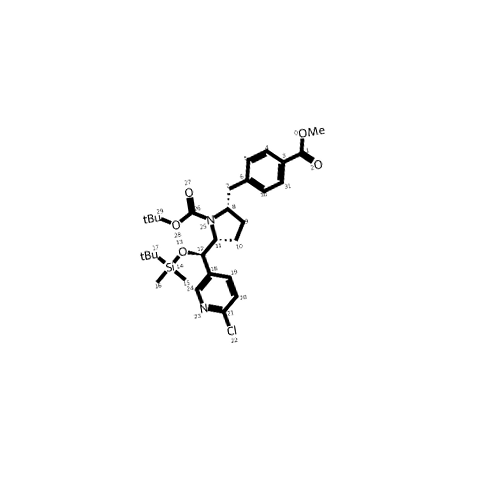 COC(=O)c1ccc(C[C@@H]2CC[C@H]([C@H](O[Si](C)(C)C(C)(C)C)c3ccc(Cl)nc3)N2C(=O)OC(C)(C)C)cc1